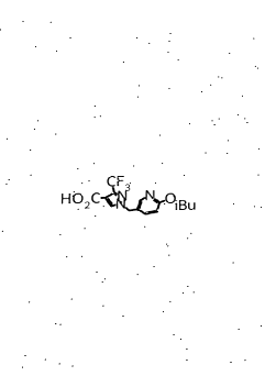 CCC(C)Oc1ccc(Cn2cc(C(=O)O)c(C(F)(F)F)n2)cn1